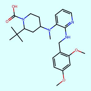 COc1ccc(CNc2ncccc2N(C)C2CCN(C(=O)O)C(C(C)(C)C)C2)c(OC)c1